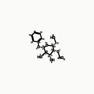 O=[N+]([O-])O[C@@H]1[C@H](O)[C@@H](O)[C@H](Oc2ccccc2)O[C@@H]1CO